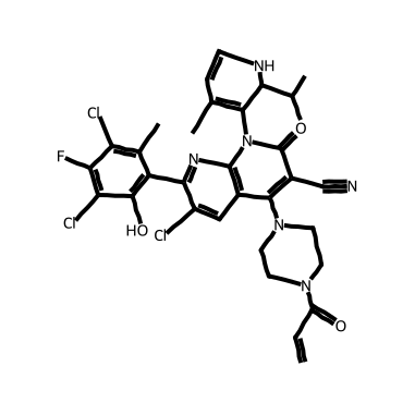 C=CC(=O)N1CCN(c2c(C#N)c(=O)n(C3=C(C)C=CNC3C(C)C)c3nc(-c4c(C)c(Cl)c(F)c(Cl)c4O)c(Cl)cc23)CC1